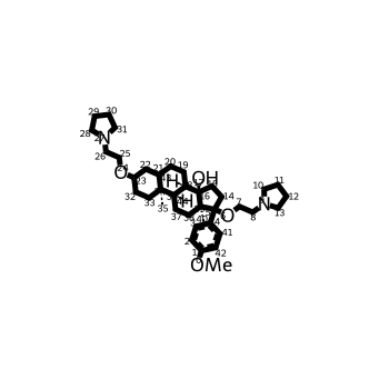 COc1ccc(C2(OCCN3CCCC3)CC[C@@]3(O)[C@@H]4CCC5CC(OCCN6CCCC6)CC[C@]5(C)[C@@H]4CC[C@]23C)cc1